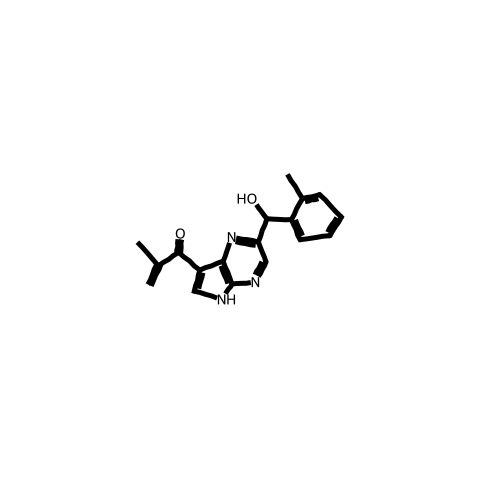 C=C(C)C(=O)c1c[nH]c2ncc(C(O)c3ccccc3C)nc12